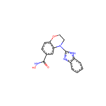 O=C(NO)c1ccc2c(c1)N(c1nc3ccccc3[nH]1)CCO2